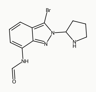 O=CNc1cccc2c(Br)n(C3CCCN3)nc12